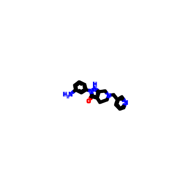 Nc1cccc(-n2[nH]c3c(c2=O)CCN(Cc2cccnc2)C3)c1